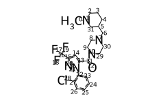 CN1CCCC(CN2CCN(C(=O)c3cc(C(F)(F)F)nn3-c3ccccc3Cl)CC2)C1